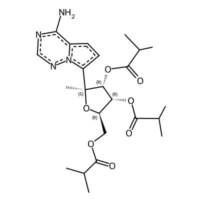 CC(C)C(=O)OC[C@H]1O[C@@](C)(c2ccc3c(N)ncnn23)[C@H](OC(=O)C(C)C)[C@@H]1OC(=O)C(C)C